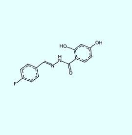 O=C(NN=Cc1ccc(F)cc1)c1ccc(O)cc1O